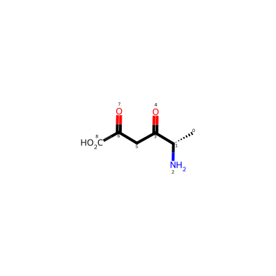 C[C@H](N)C(=O)CC(=O)C(=O)O